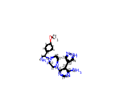 NCC(c1ccc(OC(F)(F)F)cc1)N1CCN(c2ncnc(N)c2-c2cn[nH]c2)CC1